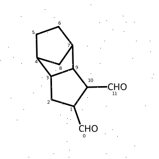 O=CC1CC2C3CCC(C3)C2C1C=O